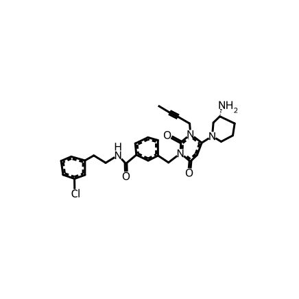 CC#CCn1c(N2CCC[C@@H](N)C2)cc(=O)n(Cc2cccc(C(=O)NCCc3cccc(Cl)c3)c2)c1=O